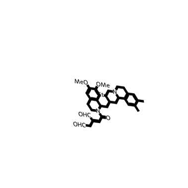 CCC1CN2CCc3cc(C)c(C)cc3C2CC1CC1c2cc(OC)c(OC)cc2CCN1C(=O)/C=C(\C=O)CC=O